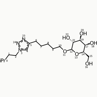 CC(C)CCn1cc(CCCCCOC2O[C@H](CO)[C@H](O)[C@H](O)[C@H]2O)nn1